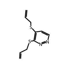 C=CCSc1ccnnc1SCC=C